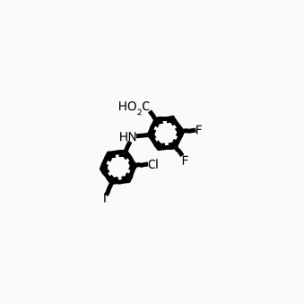 O=C(O)c1cc(F)c(F)cc1Nc1ccc(I)cc1Cl